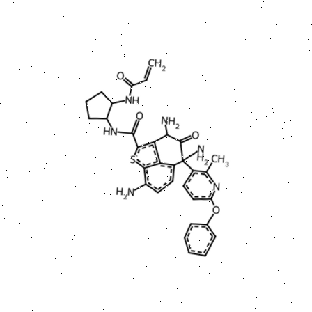 C=CC(=O)NC1CCCC1NC(=O)c1sc2c(N)ccc3c2c1C(N)C(=O)C3(N)c1ccc(Oc2ccccc2)nc1C